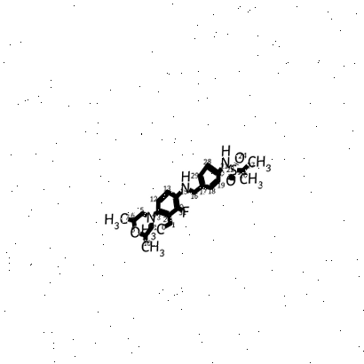 CCc1c(N2CC(C)OC(C)C2)ccc(NCc2ccc(NS(=O)(=O)C(C)C)cc2)c1F